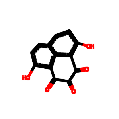 O=C1C(=O)c2c(O)ccc3ccc(O)c(c23)C1=O